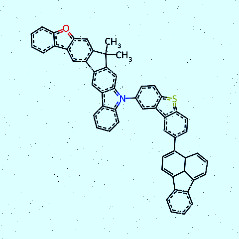 CC1(C)c2cc3oc4ccccc4c3cc2-c2cc3c4ccccc4n(-c4ccc5sc6ccc(C7=CC=C8c9ccccc9C9=CC=CC7C98)cc6c5c4)c3cc21